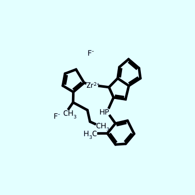 CCCC(C)C1=[C]([Zr+2][CH]2C(Pc3ccccc3C)=Cc3ccccc32)CC=C1.[F-].[F-]